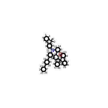 CC1(C)c2ccccc2-c2ccc(N(c3ccc(-c4ccc(-c5ccccc5)cc4)cc3)c3cccc4c3C3C=CC=C(C5(c6ccccc6)c6ccccc6-c6ccccc65)C3O4)cc21